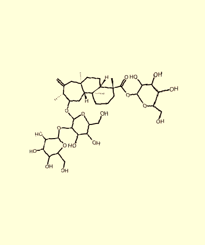 C=C1C[C@@]2(C)CC[C@H]3[C@@](C)(CCC[C@@]3(C)C(=O)OC3OC(CO)C(O)C(O)C3O)[C@@H]2CC(OC2OC(CO)C(O)C(O)C2OC2OC(CO)C(O)C(O)C2O)[C@@H]1C